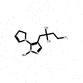 CC(C)(C)n1ncc(CC(C#N)(C#N)CCC(F)(F)F)c1N1C=CCC1